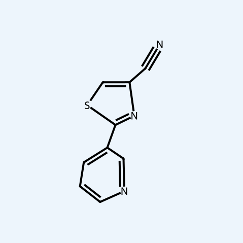 N#Cc1csc(-c2cccnc2)n1